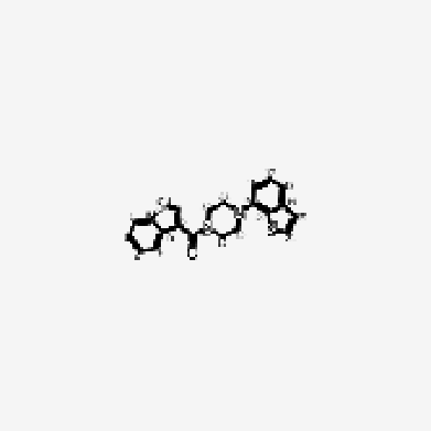 O=C(c1csc2ccccc12)N1CCN(c2cccc3ccsc23)CC1